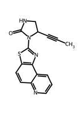 CC#CC1CNC(=O)N1c1nc2c(ccc3ncccc32)s1